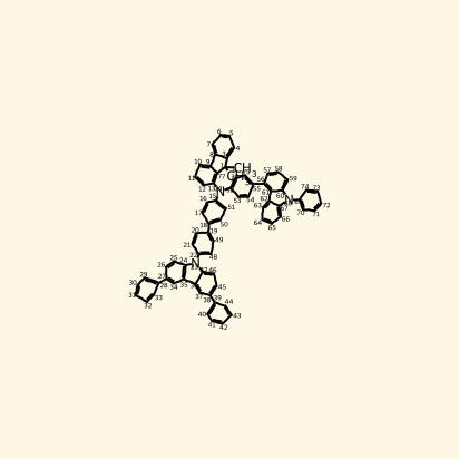 CC1(C)c2ccccc2-c2cccc(N(c3ccc(-c4ccc(-n5c6ccc(-c7ccccc7)cc6c6cc(-c7ccccc7)ccc65)cc4)cc3)c3ccc(-c4cccc5c4c4ccccc4n5-c4ccccc4)cc3)c21